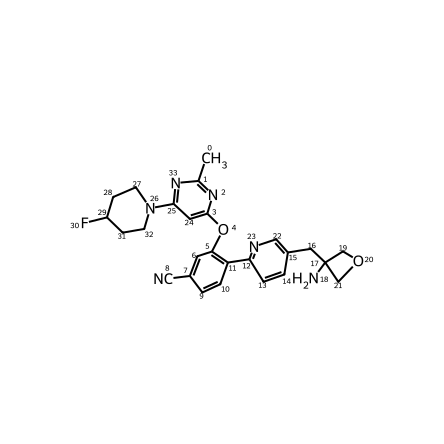 Cc1nc(Oc2cc(C#N)ccc2-c2ccc(CC3(N)COC3)cn2)cc(N2CCC(F)CC2)n1